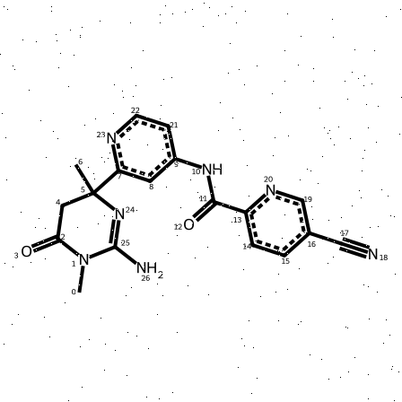 CN1C(=O)CC(C)(c2cc(NC(=O)c3ccc(C#N)cn3)ccn2)N=C1N